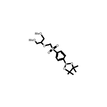 COCC(COC)OCS(=O)(=O)c1ccc(B2OC(C)(C)C(C)(C)O2)cc1